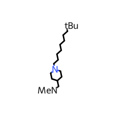 CNCC1CCN(CCCCCCCCC(C)(C)C)CC1